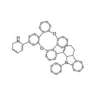 C1=CCNC(c2ccc3c(c2)Oc2cccc(C4=CCCC5c6ccccc6N(c6ccccc6)C45)c2-c2ccccc2Oc2ccccc2-3)=C1